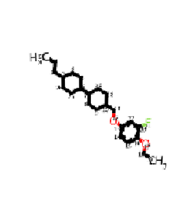 CCCC1CCC(C2CCC(COc3ccc(OCC)c(F)c3)CC2)CC1